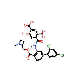 CN1CCC1COC(=O)c1ccc(-c2ccc(Cl)cc2Cl)cc1NC(=O)c1cc(O)c(C(=O)O)cc1C(=O)O